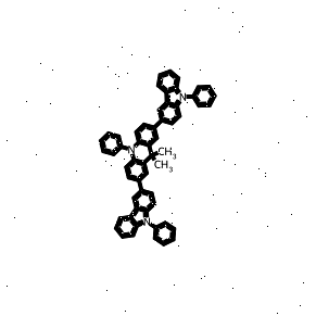 CC1(C)c2cc(-c3ccc4c(c3)c3ccccc3n4-c3ccccc3)ccc2N(c2ccccc2)c2ccc(-c3ccc4c(c3)c3ccccc3n4-c3ccccc3)cc21